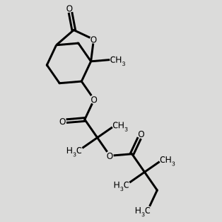 CCC(C)(C)C(=O)OC(C)(C)C(=O)OC1CCC2CC1(C)OC2=O